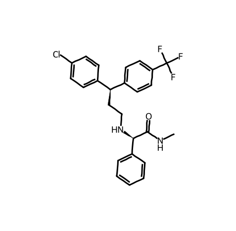 CNC(=O)[C@H](NCC[C@@H](c1ccc(Cl)cc1)c1ccc(C(F)(F)F)cc1)c1ccccc1